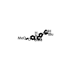 COCCOc1ccc(Nc2ccnc3cc(N4CC5(C(C)(C)C)CC4CN5)ccc23)c(OC)c1